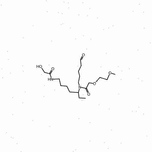 CCC(CCCCNC(=O)CO)N(CCCCC=O)C(=O)COCCOC